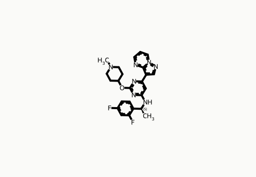 C[C@H](Nc1cc(-c2cnn3cccnc23)nc(OC2CCN(C)CC2)n1)c1ccc(F)cc1F